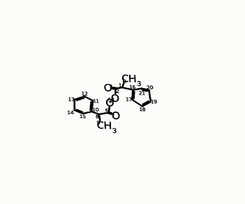 CC(C(=O)OOC(=O)C(C)c1ccccc1)c1ccccc1